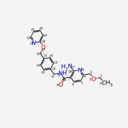 CCOCc1ccc(C(=O)NCc2ccc(COc3ccccn3)cc2)c(N)n1